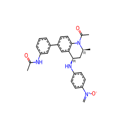 C=[N+]([O-])c1ccc(N[C@@H]2C[C@H](C)N(C(C)=O)c3ccc(-c4cccc(NC(C)=O)c4)cc32)cc1